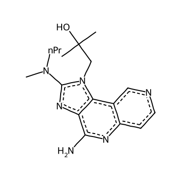 CCCN(C)c1nc2c(N)nc3ccncc3c2n1CC(C)(C)O